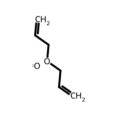 C=CCOCC=C.[O]